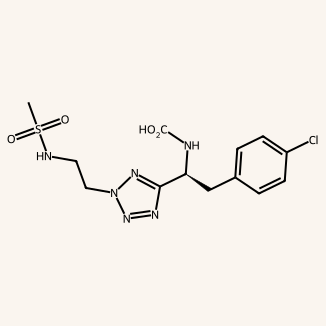 CS(=O)(=O)NCCn1nnc([C@H](Cc2ccc(Cl)cc2)NC(=O)O)n1